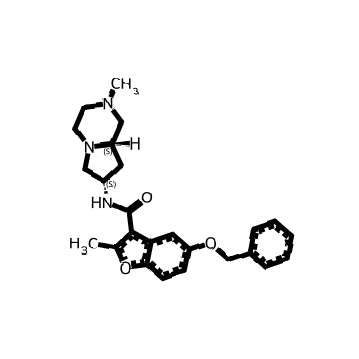 Cc1oc2ccc(OCc3ccccc3)cc2c1C(=O)N[C@H]1C[C@H]2CN(C)CCN2C1